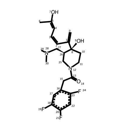 C=C(/C=C\C=C(/C)O)[C@]1(O)CCN(C(=O)Cc2cc(F)c(F)cc2F)C[C@H]1CN(C)C